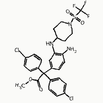 COC(=O)C(c1ccc(Cl)cc1)(c1ccc(Cl)cc1)c1ccc(N)c(NC2CCN(S(=O)(=O)C(F)(F)F)CC2)c1